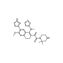 C=C(C(=O)N1CCNCC1(C)C)C1=C(N(C)c2ccsc2)c2cc(-c3cc[nH]n3)c(OC)cc2CC1